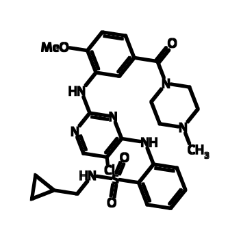 COc1ccc(C(=O)N2CCN(C)CC2)cc1Nc1ncc(Cl)c(Nc2ccccc2S(=O)(=O)NCC2CC2)n1